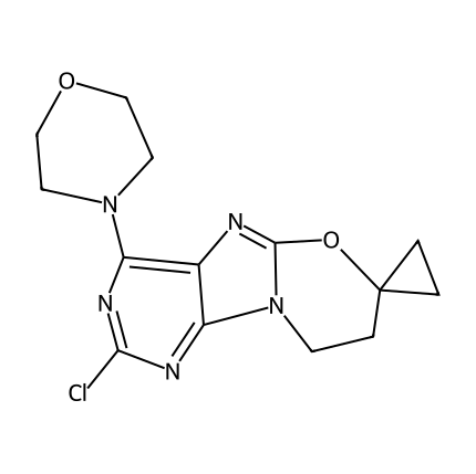 Clc1nc(N2CCOCC2)c2nc3n(c2n1)CCC1(CC1)O3